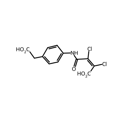 O=C(O)Cc1ccc(NC(=O)/C(Cl)=C(/Cl)C(=O)O)cc1